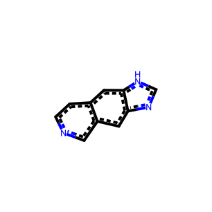 c1cc2cc3[nH]cnc3cc2cn1